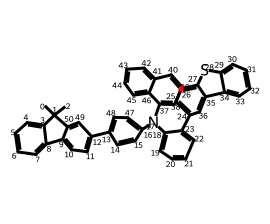 CC1(C)c2ccccc2-c2ccc(-c3ccc(N(c4ccccc4-c4ccc5sc6ccccc6c5c4)c4cccc5ccccc45)cc3)cc21